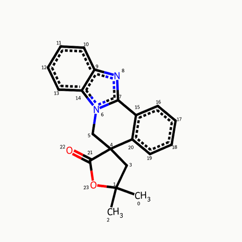 CC1(C)CC2(Cn3c(nc4ccccc43)-c3ccccc32)C(=O)O1